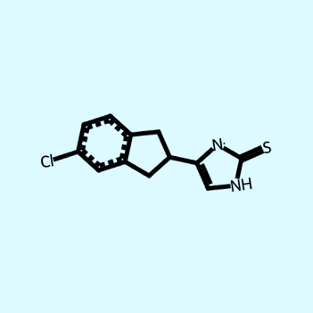 S=C1[N]C(C2Cc3ccc(Cl)cc3C2)=CN1